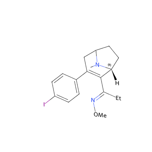 CCC(=NOC)C1=C(c2ccc(I)cc2)CC2CC[C@H]1N2C